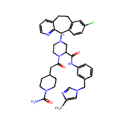 Cc1cn(Cc2cccc(NC(=O)C3CN([C@@H]4c5ccc(Cl)cc5CCc5cccnc54)CCN3C(=O)CC3CCN(C(N)=O)CC3)c2)cn1